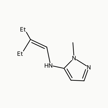 CCC(=CNc1ccnn1C)CC